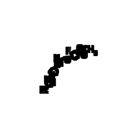 CCc1cnc(N2CCC(n3cnc(COc4ccc(S(C)(=O)=O)cc4F)n3)CC2)nc1